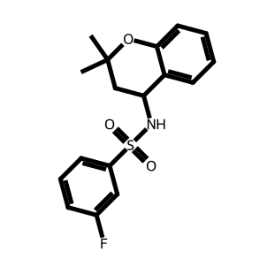 CC1(C)CC(NS(=O)(=O)c2cccc(F)c2)c2ccccc2O1